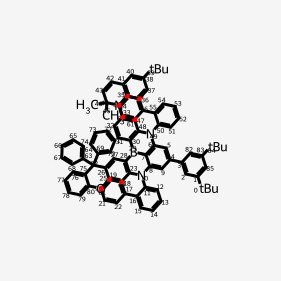 CC(C)(C)c1cc(-c2cc3c4c(c2)N(c2ccccc2-c2ccccc2)c2cc5c(cc2B4c2ccc(N4c6ccc(C(C)(C)C)cc6C=CC4(C)C)cc2N3c2ccccc2-c2ccccc2)C(c2ccccc2)(c2ccccc2)c2ccccc2O5)cc(C(C)(C)C)c1